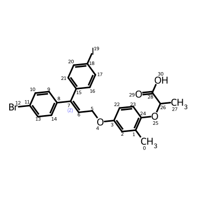 Cc1cc(OC/C=C(/c2ccc(Br)cc2)c2ccc(I)cc2)ccc1OC(C)C(=O)O